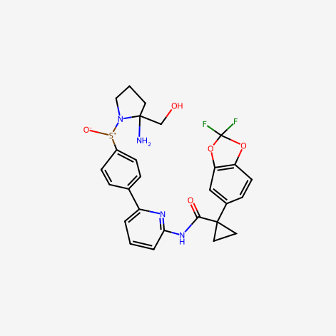 NC1(CO)CCCN1[S+]([O-])c1ccc(-c2cccc(NC(=O)C3(c4ccc5c(c4)OC(F)(F)O5)CC3)n2)cc1